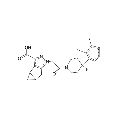 Cc1cccc(C2(F)CCN(C(=O)Cn3nc(C(=O)O)c4c3CC3CC43)CC2)c1C